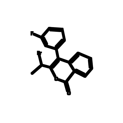 CC(Br)c1oc(=O)c2ccccc2c1-c1cccc(F)c1